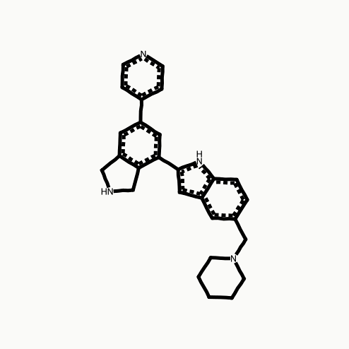 c1cc(-c2cc3c(c(-c4cc5cc(CN6CCCCC6)ccc5[nH]4)c2)CNC3)ccn1